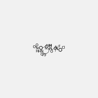 COC(=O)Nc1ccc2c(c1)NC(=O)C(F)(F)CCC[C@H](NC(=O)c1cnn(-c3cccc(Cl)c3F)c1C)c1nc-2c[nH]1